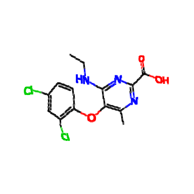 CCNc1nc(C(=O)O)nc(C)c1Oc1ccc(Cl)cc1Cl